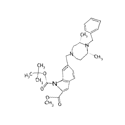 COC(=O)c1cc2ccc(CN3C[C@@H](C)N(Cc4ccccc4)[C@@H](C)C3)cc2n1C(=O)OC(C)(C)C